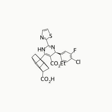 CCOC(=O)C1=C(C23C4C5C2C2C3C4C52C(=O)O)NC(c2nccs2)=N[C@H]1c1ccc(Cl)c(F)c1